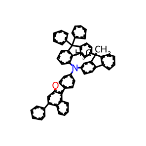 CC1(C)c2ccccc2-c2ccc(N(c3ccc4c(c3)oc3cc(-c5ccccc5)c5ccccc5c34)c3cccc4c3-c3ccccc3C4(c3ccccc3)c3ccccc3)cc21